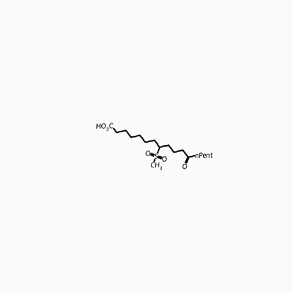 CCCCCC(=O)CCCC(CCCCCCC(=O)O)S(C)(=O)=O